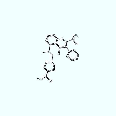 CC[C@H](N)c1nc2cccc(N(C)Cc3ccc(C(=O)OC)cc3)c2c(=O)n1-c1ccccc1